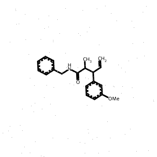 C=CC(c1cccc(OC)c1)C(C)C(=O)NCc1ccccc1